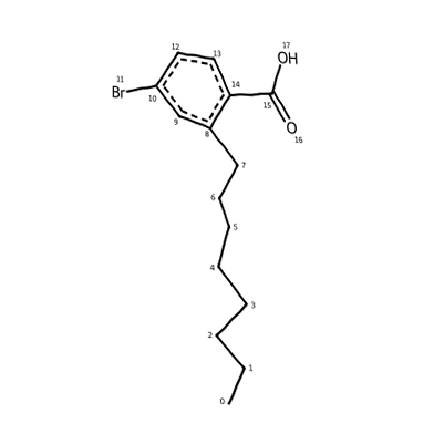 CCCCCCCCc1cc(Br)ccc1C(=O)O